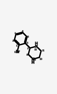 Brc1ccccc1C1CNCCN1